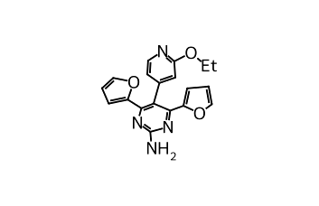 CCOc1cc(-c2c(-c3ccco3)nc(N)nc2-c2ccco2)ccn1